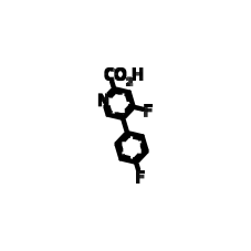 O=C(O)c1cc(F)c(-c2ccc(F)cc2)cn1